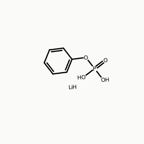 O=P(O)(O)Oc1ccccc1.[LiH]